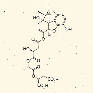 Cc1ccc(O)c2c1[C@]13CCN(C)[C@H](C)[C@]1(O)CC=C(OC(=O)C[C@H](O)C(=O)O[C@@H](C)C(=O)O[C@@H](CC(=O)O)C(=O)O)[C@@H]3O2